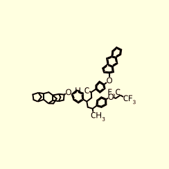 CC(CC(CC(C)c1ccc(Oc2ccc3cc4ccccc4cc3c2)cc1)c1ccc(OC2CC3CC2C24CCC(C5C6CCC(C6)C5C2)C34)cc1)c1ccc(OCC(C(F)(F)F)C(F)(F)F)cc1